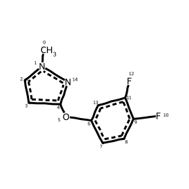 Cn1[c]cc(Oc2ccc(F)c(F)c2)n1